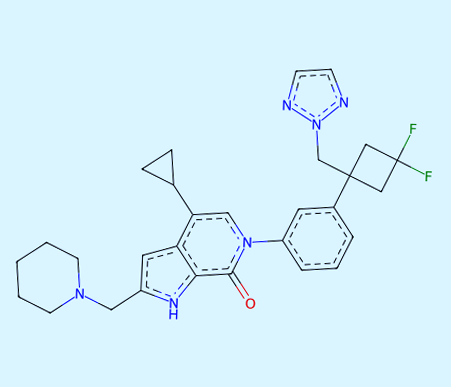 O=c1c2[nH]c(CN3CCCCC3)cc2c(C2CC2)cn1-c1cccc(C2(Cn3nccn3)CC(F)(F)C2)c1